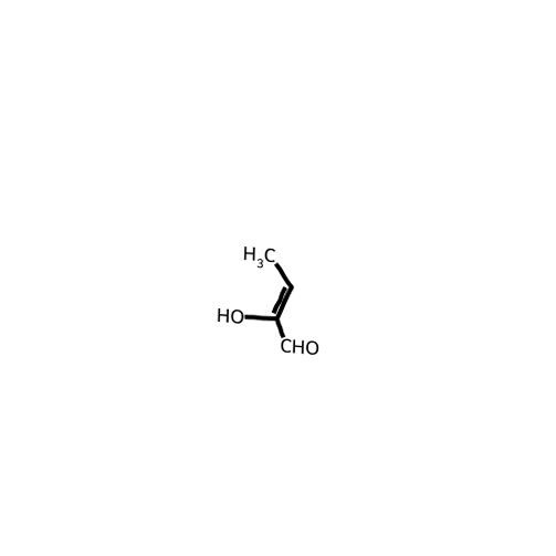 CC=C(O)C=O